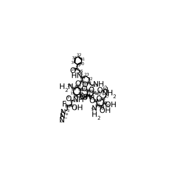 [N-]=[N+]=NC[C@@H](F)[C@H](O)C(=O)N[C@@H]1C[C@H](N)[C@@H](O[C@H]2O[C@H](CN)CC[C@H]2NCC(=O)c2ccccc2)[C@H](O[C@@H]2O[C@H](CO)[C@@H](O[C@H]3O[C@@H](CN)[C@@H](O)[C@H](O)[C@H]3N)[C@H]2O)[C@H]1O